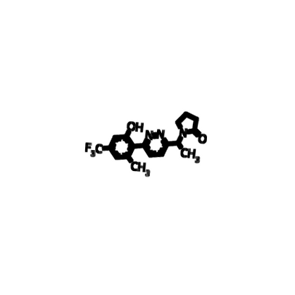 Cc1cc(C(F)(F)F)cc(O)c1-c1ccc(C(C)N2CCCC2=O)nn1